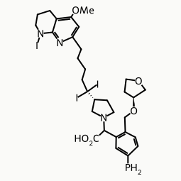 COc1cc(CCCCC(I)(I)[C@@H]2CCN(C(C(=O)O)c3cc(P)ccc3CO[C@H]3CCOC3)C2)nc2c1CCCN2I